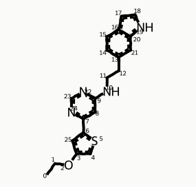 CCOc1csc(-c2cc(NCCc3ccc4cc[nH]c4c3)ncn2)c1